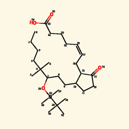 CCCCC(C)(C)C(CCC1CCC(=O)C1C/C=C\CCCC(=O)O)O[Si](C)(C)C(C)(C)C